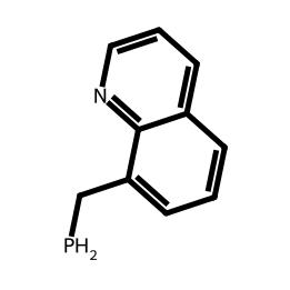 PCc1cccc2cccnc12